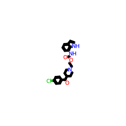 O=C(Nc1cccc2cc[nH]c12)OCCN1CCC(C(=O)c2ccc(Cl)cc2)CC1